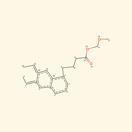 C/C=c1/cc2cccc(CCCC(=O)OCOC)c2c/c1=C/C